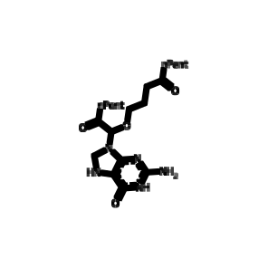 CCCCCC(=O)CCCOC(C(=O)CCCCC)N1CNc2c1nc(N)[nH]c2=O